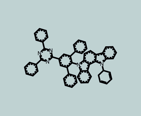 C1=CCC(n2c3ccccc3c3ccc4c(c5ccccc5n4-c4c(-c5ccccc5)cc(-c5nc(-c6ccccc6)nc(-c6ccccc6)n5)cc4-c4ccccc4)c32)C=C1